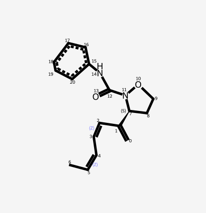 C=C(/C=C\C=C/C)[C@@H]1CCON1C(=O)Nc1ccccc1